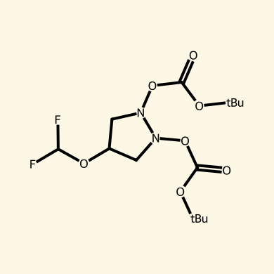 CC(C)(C)OC(=O)ON1CC(OC(F)F)CN1OC(=O)OC(C)(C)C